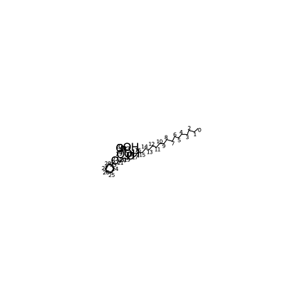 CCCCCCCCCCCCCCCCCCOC[C@@H](COc1ccccc1)OP(=O)(O)O